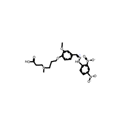 COc1cc(/C=N\Nc2ccc([N+](=O)[O-])cc2[N+](=O)[O-])ccc1OCCCN(C)CCC(=O)O